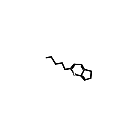 CCCCCC1=CC=C2CCC=C2O1